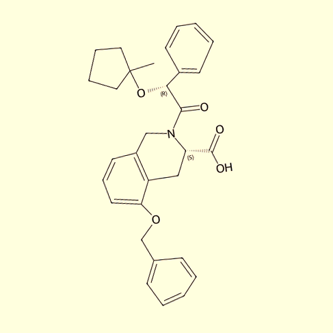 CC1(O[C@@H](C(=O)N2Cc3cccc(OCc4ccccc4)c3C[C@H]2C(=O)O)c2ccccc2)CCCC1